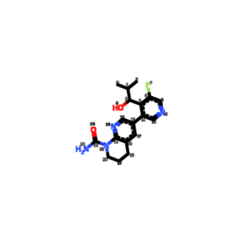 CC(C)C(O)c1c(F)cncc1-c1cnc2c(c1)CCCN2C(N)=O